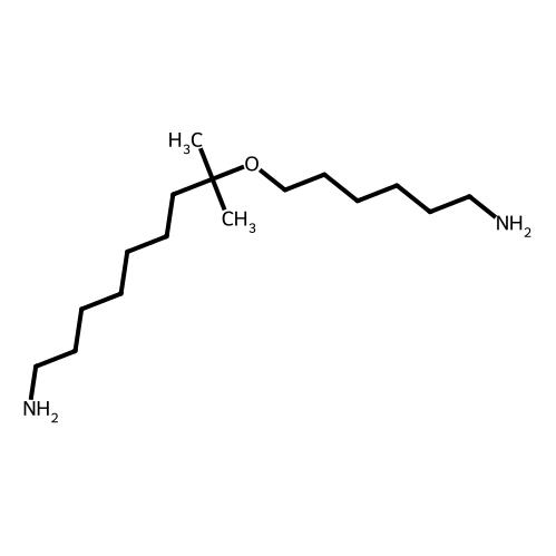 CC(C)(CCCCCCCN)OCCCCCCN